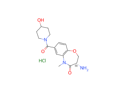 CN1C(=O)[C@@H](N)COc2ccc(C(=O)N3CCC(O)CC3)cc21.Cl